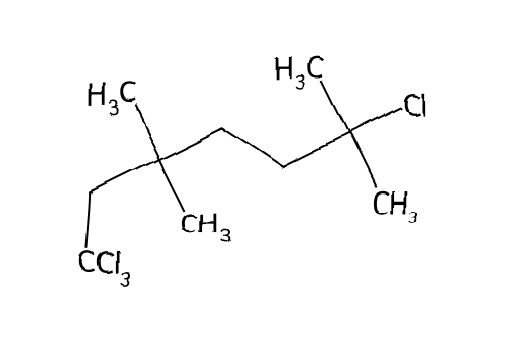 CC(C)(Cl)CCC(C)(C)CC(Cl)(Cl)Cl